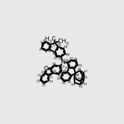 CC1(C)c2ccccc2-c2cc(N(c3ccc4c(c3)oc3ccccc34)c3cccc4c3-c3ccccc3C43C4CC5CC(C4)CC3C5)ccc21